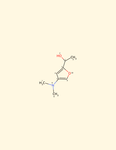 CC(O)c1cc(N(C)C)co1